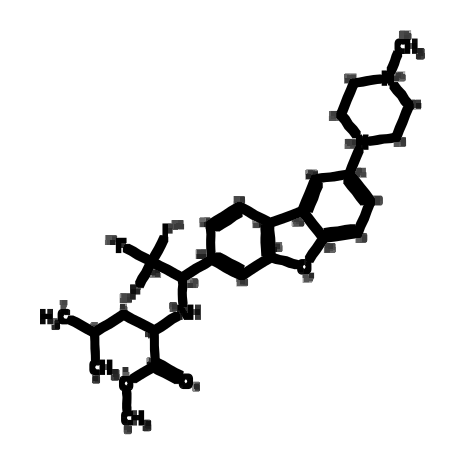 COC(=O)C(CC(C)C)NC(c1ccc2c(c1)oc1ccc(N3CCN(C)CC3)cc12)C(F)(F)F